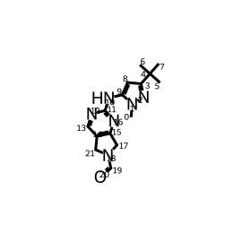 Cn1nc(C(C)(C)C)cc1Nc1ncc2c(n1)CN(C=O)C2